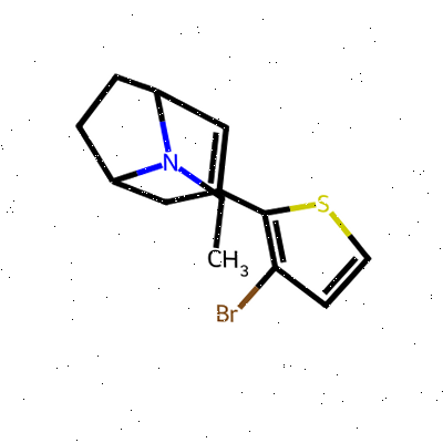 CCN1C2C=C(c3sccc3Br)CC1CC2